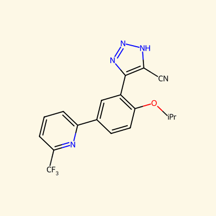 CC(C)Oc1ccc(-c2cccc(C(F)(F)F)n2)cc1-c1nn[nH]c1C#N